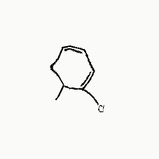 CC1CC=CC=C1Cl